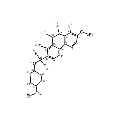 CCOc1ccc2c(c1F)C(F)C(F)c1c-2ccc(C(F)(F)OC2CCC(OCC)CC2)c1F